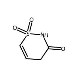 O=C1CC=CS(=O)(=O)N1